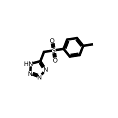 Cc1ccc(S(=O)(=O)Cc2nnn[nH]2)cc1